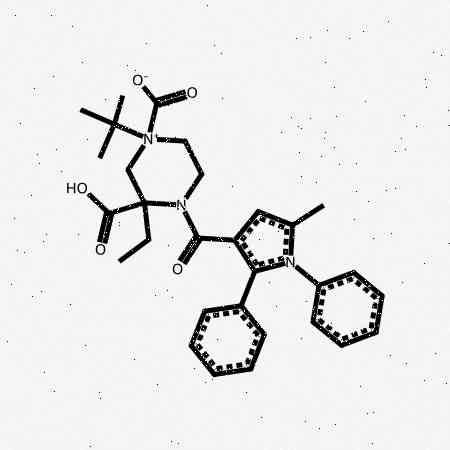 CCC1(C(=O)O)C[N+](C(=O)[O-])(C(C)(C)C)CCN1C(=O)c1cc(C)n(-c2ccccc2)c1-c1ccccc1